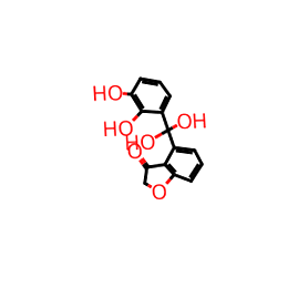 O=C1COc2cccc(C(O)(O)c3cccc(O)c3O)c21